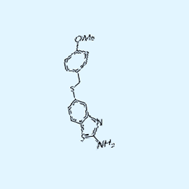 COc1ccc(CSc2ccc3sc(N)nc3c2)cc1